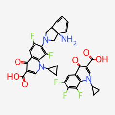 NC12C=CC=CC1CN(c1c(F)cc3c(=O)c(C(=O)O)cn(C4CC4)c3c1F)C2.O=C(O)c1cn(C2CC2)c2c(F)c(F)c(F)cc2c1=O